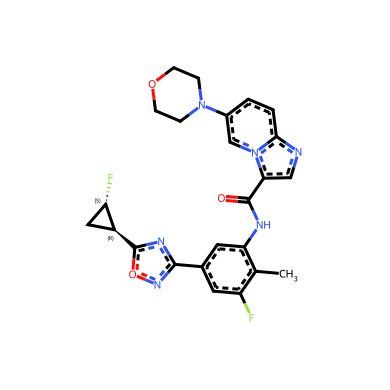 Cc1c(F)cc(-c2noc([C@H]3C[C@@H]3F)n2)cc1NC(=O)c1cnc2ccc(N3CCOCC3)cn12